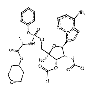 CCC(=O)O[C@H]1[C@H](c2ccc3c(N)ccnn23)O[C@](C#N)(COP(=O)(N[C@@H](C)C(=O)OC2CCOCC2)Oc2ccccc2)[C@H]1OC(=O)CC